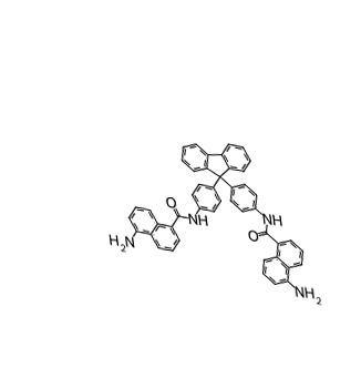 Nc1cccc2c(C(=O)Nc3ccc(C4(c5ccc(NC(=O)c6cccc7c(N)cccc67)cc5)c5ccccc5-c5ccccc54)cc3)cccc12